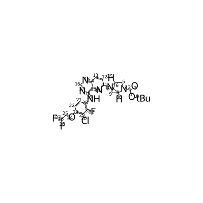 CC(C)(C)OC(=O)N1C[C@@H]2C[C@H]1CN2c1ccc2ncnc(Nc3ccc(OCC(F)F)c(Cl)c3F)c2n1